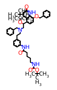 CC(C)(C)OC(=O)NCCCCC(=O)Nc1cccc(CCN(Cc2ccccc2)CC(O[Si](C)(C)C(C)(C)C)c2ccc(OCc3ccccc3)c3[nH]c(=O)ccc23)c1